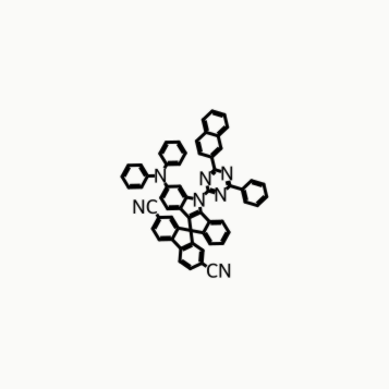 N#Cc1ccc2c(c1)C1(c3cc(C#N)ccc3-2)c2ccccc2-c2c1c1ccc(N(c3ccccc3)c3ccccc3)cc1n2-c1nc(-c2ccccc2)nc(-c2ccc3ccccc3c2)n1